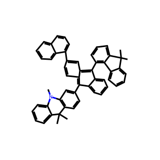 CN1c2ccccc2C(C)(C)c2ccc(-c3c4ccccc4c(-c4cccc5c4-c4ccccc4C5(C)C)c4cc(-c5cccc6ccccc56)ccc34)cc21